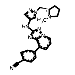 CN1CCC[C@@H]1Cn1cc(Nc2nc3c(-c4ccc(C#N)cc4)cccn3n2)cn1